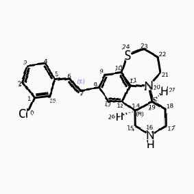 Clc1cccc(/C=C/c2cc3c4c(c2)[C@@H]2CNCC[C@@H]2N4CCCS3)c1